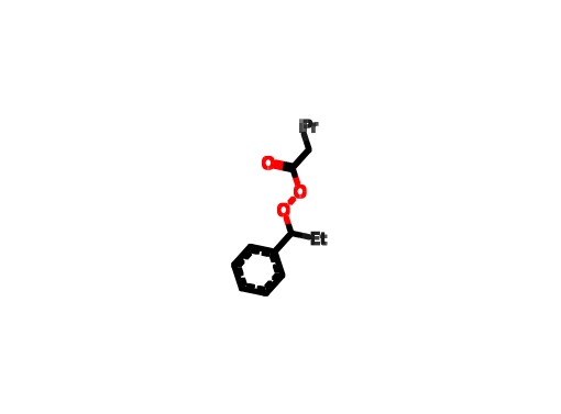 CCC(OOC(=O)CC(C)C)c1ccccc1